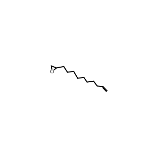 C=CCCCCCCCCC1CO1